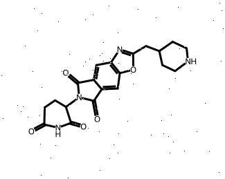 O=C1CCC(N2C(=O)c3cc4nc(CC5CCNCC5)oc4cc3C2=O)C(=O)N1